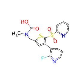 CN(Cc1cc(-c2cccnc2F)c(S(=O)(=O)c2ccccn2)s1)C(=O)O